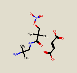 CC(C)(N)CNC(=O)C(C)(C)CO[N+](=O)[O-].O=C(O)C=CC(=O)O